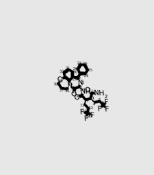 NC(=O)[C@@H](CCC(F)(F)F)[C@@H](CCC(F)(F)F)C(=O)N[C@H]1N=C(c2ccccc2)c2cccc3c2N(CCCO3)C1=O